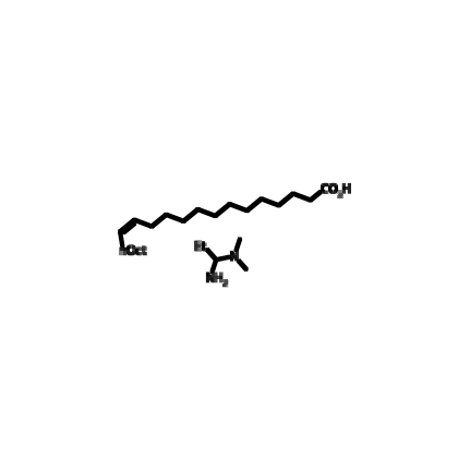 CCC(N)N(C)C.CCCCCCCC/C=C\CCCCCCCCCCCC(=O)O